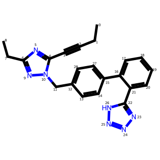 CCC#Cc1nc(CC)nn1Cc1ccc(-c2ccccc2-c2nnn[nH]2)cc1